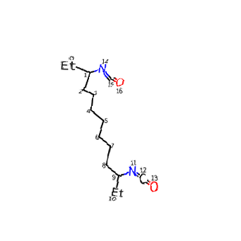 CCC(CCCCCCCC(CC)N=C=O)N=C=O